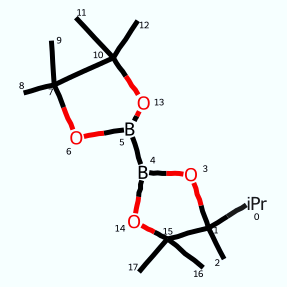 CC(C)C1(C)OB(B2OC(C)(C)C(C)(C)O2)OC1(C)C